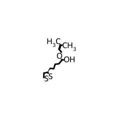 CC(C)=CCOC(O)CCCC[C@@H]1CCSS1